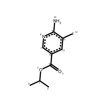 CC(C)OC(=O)c1cnc(N)c(I)c1